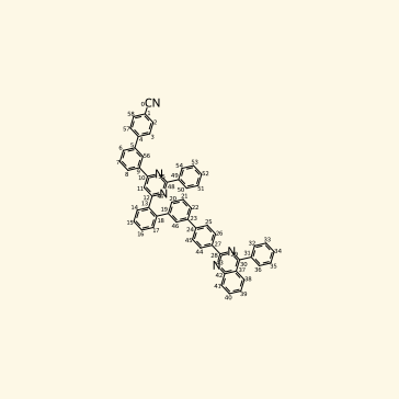 N#Cc1ccc(-c2cccc(-c3cc(-c4ccccc4-c4cccc(-c5ccc(-c6nc(-c7ccccc7)c7ccccc7n6)cc5)c4)nc(-c4ccccc4)n3)c2)cc1